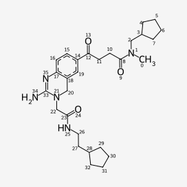 CN(CC1CCCC1)C(=O)CCC(=O)c1ccc2c(c1)CN(CC(=O)NCCC1CCCC1)C(N)=N2